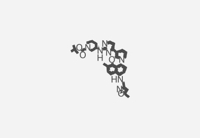 Cc1cc(CNc2cccc3c(Oc4ncccc4-c4ccnc(N[C@H]5CCCN(C(=O)OC(C)(C)C)C5)n4)c(C)ccc23)no1